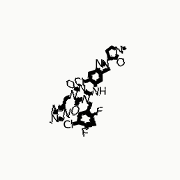 CN1CC[C@H](n2cc3cc(Nc4nc(=O)n(Cc5ncn(C)n5)c(=O)n4Cc4cc(Cl)c(F)cc4F)c(Cl)cc3n2)C1=O